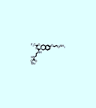 CC(C)(C)OC(=O)NCCN/C(=N/C(=O)C(F)(F)F)N1CCc2cc(OCCON)ccc2C1